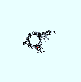 CC[C@H](C)[C@H]1NC(=O)[C@@H](NC(=O)[C@@H](CC(C)C)N(C)S(=O)(=O)c2ccc(C)cc2)[C@@H](C)OC(=O)[C@H](Cc2ccc(OC)cc2)N(C)C(=O)[C@@H]2CCCN2C(=O)[C@H](CC(C)C)NC(=O)[C@H](C(C)C)OC(=O)C[C@@H]1O